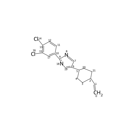 C=CC1CCC(c2cnc(-c3ccc(Cl)c(Cl)c3)nc2)CC1